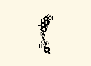 CC(=O)[C@@]1(O)CC[C@H]2[C@@H]3C[C@H](C)C4=C/C(=N/OCCOC(=O)Nc5ccc(C)cc5)CC[C@]4(C)[C@H]3CC[C@@]21C